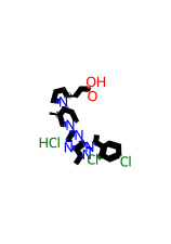 Cc1nn(C(C)c2ccc(Cl)cc2Cl)c2nc(N3CC[C@H](N4CCC[C@H]4CCC(=O)O)[C@H](C)C3)cnc12.Cl